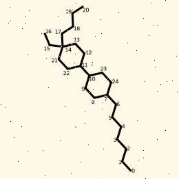 CCCCCCCC1CCC(C2CCC(CC)(CCCC)CC2)CC1